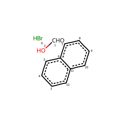 Br.O=CO.c1ccc2ccccc2c1